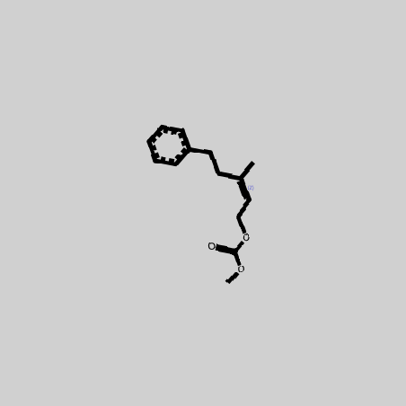 COC(=O)OC/C=C(/C)CCc1ccccc1